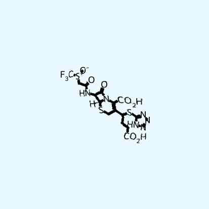 O=C(O)CCC(Sc1nnn[nH]1)C1=C(C(=O)O)N2C(=O)C(NC(=O)C[S+]([O-])C(F)(F)F)[C@@H]2SC1